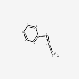 C=C=Cc1ccccc1